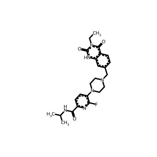 CCn1c(=O)[nH]c2cc(CN3CCN(c4ccc(C(=O)NC(C)C)nc4F)CC3)ccc2c1=O